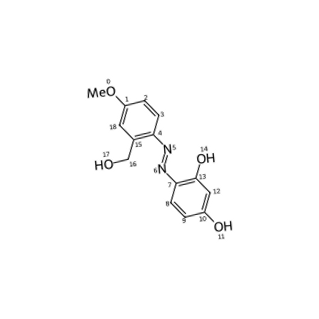 COc1ccc(N=Nc2ccc(O)cc2O)c(CO)c1